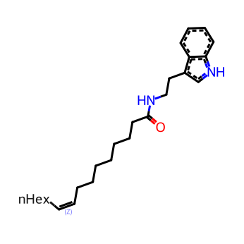 CCCCCC/C=C\CCCCCCCC(=O)NCCc1c[nH]c2ccccc12